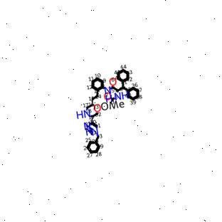 COC(=O)N[C@H](C(=O)Nc1ccccc1CC[C@@H]1CN[C@H](c2cn(Cc3ccccc3)nn2)CO1)C(c1ccccc1)c1ccccc1